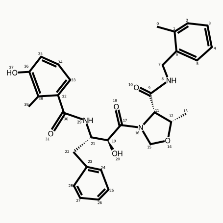 Cc1ccccc1CNC(=O)[C@@H]1[C@H](C)OCN1C(=O)[C@@H](O)[C@H](Cc1ccccc1)NC(=O)c1cccc(O)c1C